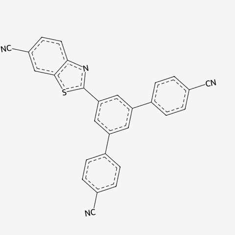 N#Cc1ccc(-c2cc(-c3ccc(C#N)cc3)cc(-c3nc4ccc(C#N)cc4s3)c2)cc1